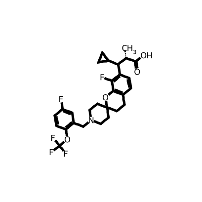 C[C@H](C(=O)O)C(c1ccc2c(c1F)OC1(CC2)CCN(Cc2cc(F)ccc2OC(F)(F)F)CC1)C1CC1